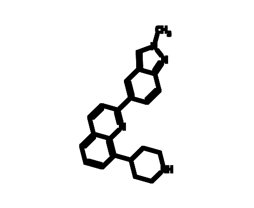 Cn1cc2cc(-c3ccc4cccc(C5CCNCC5)c4n3)ccc2n1